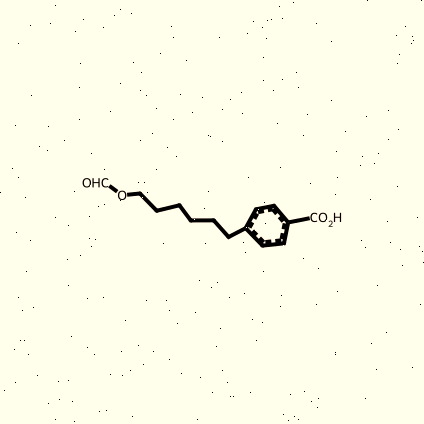 O=COCCCCCCc1ccc(C(=O)O)cc1